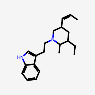 C/C=C\C1CC(CC)C(C)N(CCc2c[nH]c3ccccc23)C1